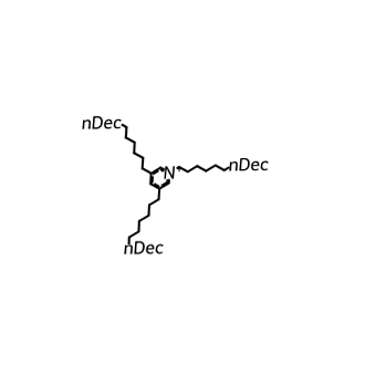 CCCCCCCCCCCCCCCCc1cc(CCCCCCCCCCCCCCCC)c[n+](CCCCCCCCCCCCCCCC)c1